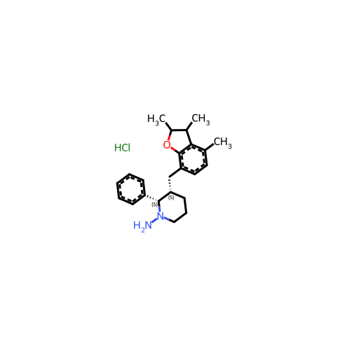 Cc1ccc(C[C@@H]2CCCN(N)[C@@H]2c2ccccc2)c2c1C(C)C(C)O2.Cl